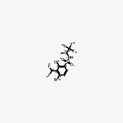 C[C@H](NS(=O)(=O)c1ccc(Br)c(C(F)F)c1Cl)C(F)(F)F